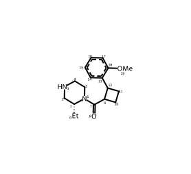 CC[C@@H]1CNCCN1C(=O)C1CCC1c1ccccc1OC